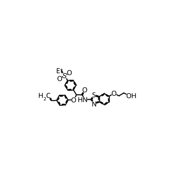 C=Cc1ccc(OC(C(=O)Nc2nc3ccc(OCCO)cc3s2)c2ccc(S(=O)(=O)CC)cc2)cc1